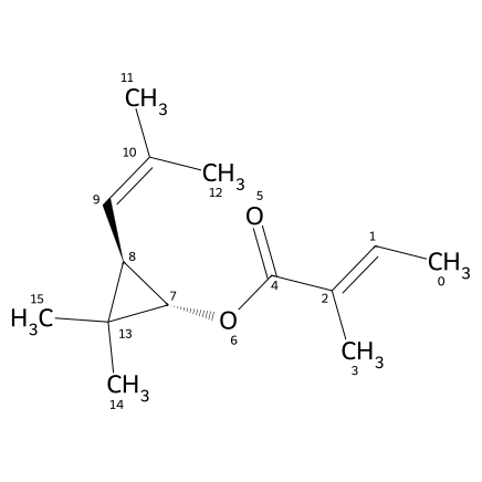 C/C=C(\C)C(=O)O[C@H]1[C@H](C=C(C)C)C1(C)C